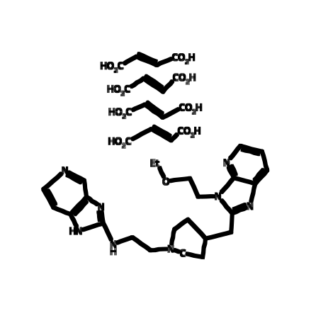 CCOCCn1c(CC2CCN(CCNc3nc4cnccc4[nH]3)CC2)nc2cccnc21.O=C(O)C=CC(=O)O.O=C(O)C=CC(=O)O.O=C(O)C=CC(=O)O.O=C(O)C=CC(=O)O